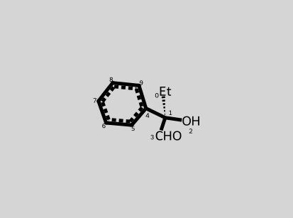 CC[C@](O)(C=O)c1ccccc1